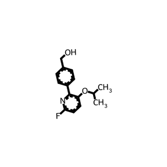 CC(C)Oc1ccc(F)nc1-c1ccc(CO)cc1